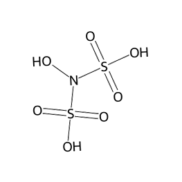 O=S(=O)(O)N(O)S(=O)(=O)O